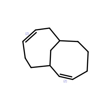 C1=C\C2CC/C=C\CC(CCC/1)C2